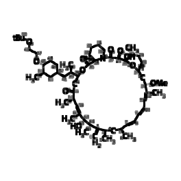 C=C1[C@H](C)C[C@H](C)/C=C/C=C/C=C(\C)[C@@H](OC)C[C@@H]2CC[C@@H](C)[C@@](O)(O2)C(=O)C(=O)N2CCCC[C@H]2C(=O)O[C@H]([C@H](C)C[C@@H]2CC[C@@H](OCCOC(C)(C)C)[C@H](C)C2)CC(=O)[C@H](C)/C=C(\C)[C@@H](O)[C@H]1C